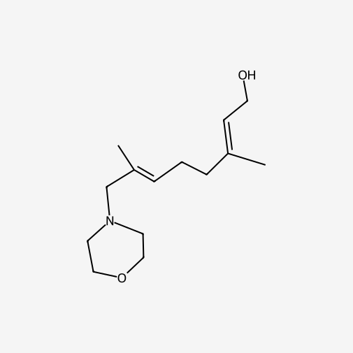 CC(=CCO)CCC=C(C)CN1CCOCC1